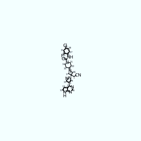 N#CCC1(n2cc(-c3ncnc4[nH]ccc34)cn2)CN(C2CCN(C(=O)Nc3ccc(Cl)cc3F)CC2)C1